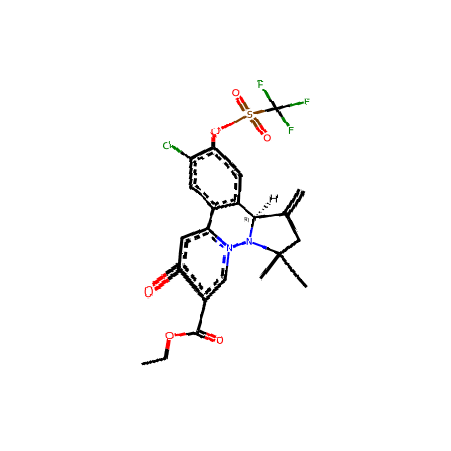 C=C1CC(C)(C)N2[C@H]1c1cc(OS(=O)(=O)C(F)(F)F)c(Cl)cc1-c1cc(=O)c(C(=O)OCC)cn12